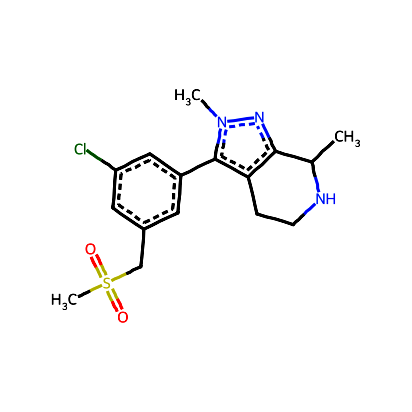 CC1NCCc2c1nn(C)c2-c1cc(Cl)cc(CS(C)(=O)=O)c1